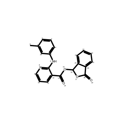 Cc1cccc(Nc2ncccc2C(=O)OC2OC(=O)c3ccccc32)c1